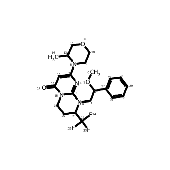 COC(CN1c2nc(N3CCOCC3C)cc(=O)n2CCC1C(F)(F)F)c1ccccc1